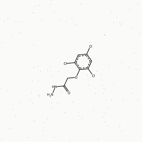 NNC(=O)COc1c(Cl)cc(Cl)cc1Cl